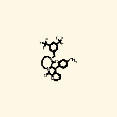 Cc1ccc(-c2c3n(c(=O)c4ncccc24)CCCCCN(Cc2cc(C(F)(F)F)cc(C(F)(F)F)c2)C3=O)cc1